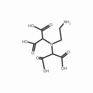 NCCN(C(C(=O)O)C(=O)O)C(C(=O)O)C(=O)O